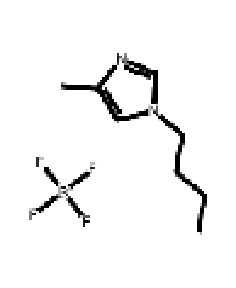 CCCCn1cnc(C)c1.F[B-](F)(F)F